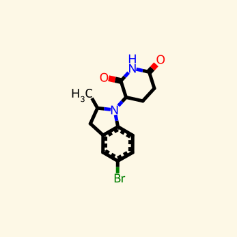 CC1Cc2cc(Br)ccc2N1C1CCC(=O)NC1=O